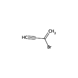 C#CC(=C)Br